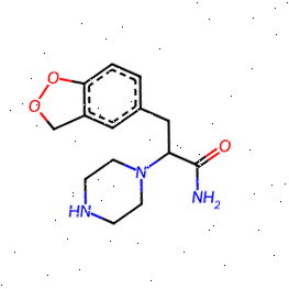 NC(=O)C(Cc1ccc2c(c1)COO2)N1CCNCC1